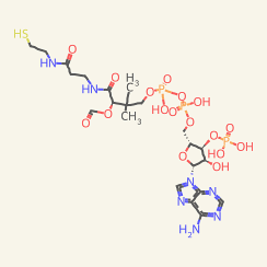 CC(C)(COP(=O)(O)OP(=O)(O)OC[C@H]1O[C@@H](n2cnc3c(N)ncnc32)[C@H](O)[C@@H]1OP(=O)(O)O)[C@@H](OC=O)C(=O)NCCC(=O)NCCS